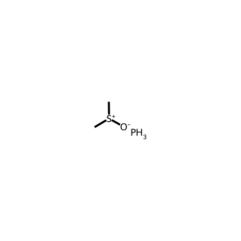 C[S+](C)[O-].P